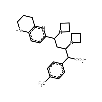 O=C(O)C(c1ccc(C(F)(F)F)cc1)C(CC(c1ccc2c(n1)CCCN2)N1CCC1)N1CCC1